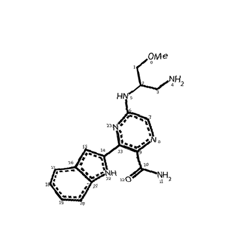 COCC(CN)Nc1cnc(C(N)=O)c(-c2cc3ccccc3[nH]2)n1